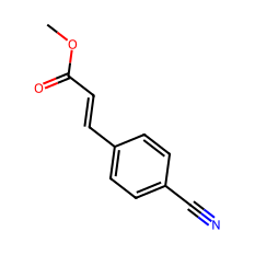 COC(=O)C=Cc1ccc(C#N)cc1